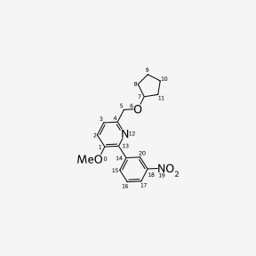 COc1ccc(COC2CCCC2)nc1-c1cccc([N+](=O)[O-])c1